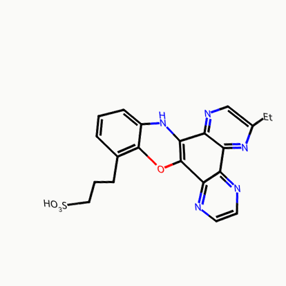 CCc1cnc2c3c(c4nccnc4c2n1)Oc1c(CCCS(=O)(=O)O)cccc1N3